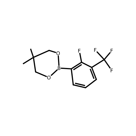 CC1(C)COB(c2cccc(C(F)(F)F)c2F)OC1